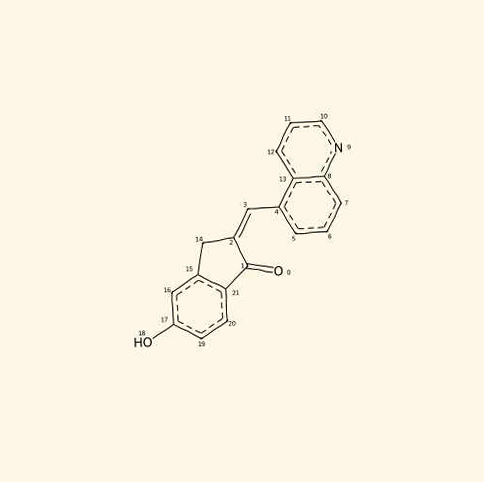 O=C1C(=Cc2cccc3ncccc23)Cc2cc(O)ccc21